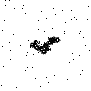 CC(C)(C)OC(=O)NC1CCN(C(=O)Cc2cccc(Nc3cc(-c4cnc5c(ccn5S(=O)(=O)c5ccccc5)c4)ncn3)c2)CC1